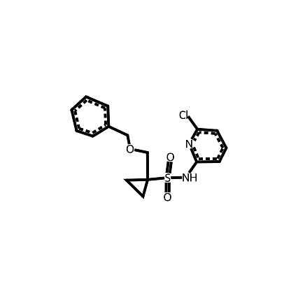 O=S(=O)(Nc1cccc(Cl)n1)C1(COCc2ccccc2)CC1